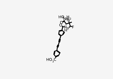 CC(N)(C(F)F)[C@H](NC(=O)c1ccc(C#CC#Cc2ccc(C(=O)O)cc2)cc1)C(=O)NO